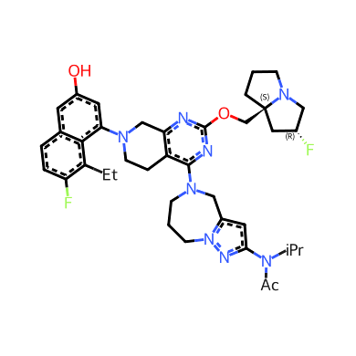 CCc1c(F)ccc2cc(O)cc(N3CCc4c(nc(OC[C@@]56CCCN5C[C@H](F)C6)nc4N4CCCn5nc(N(C(C)=O)C(C)C)cc5C4)C3)c12